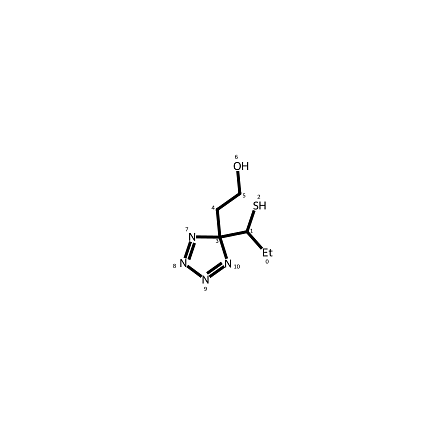 [CH2]CC(S)C1(CCO)N=NN=N1